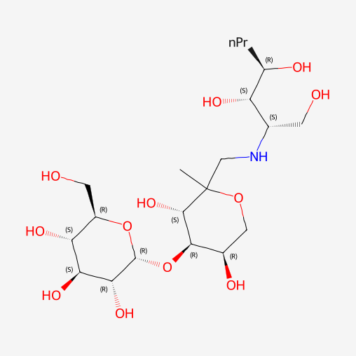 CCC[C@@H](O)[C@@H](O)[C@H](CO)NCC1(C)OC[C@@H](O)[C@@H](O[C@H]2O[C@H](CO)[C@@H](O)[C@H](O)[C@H]2O)[C@@H]1O